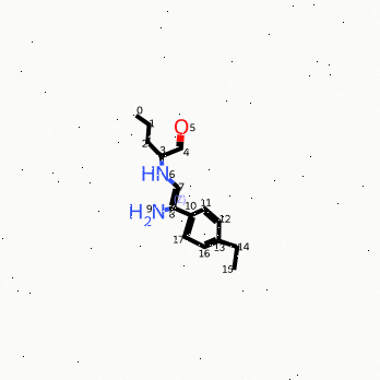 CCCC(C=O)N/C=C(\N)c1ccc(CC)cc1